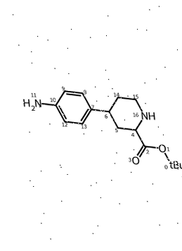 CC(C)(C)OC(=O)C1CC(c2ccc(N)cc2)CCN1